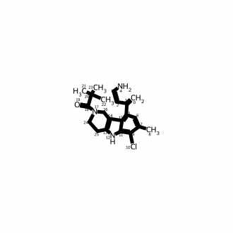 C=C(/C=C\N)c1cc(C)c(Cl)c2[nH]c3c(c12)CN(C(=O)C(C)(C)C)CC3